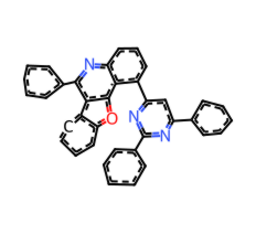 c1ccc(-c2cc(-c3cccc4nc(-c5ccccc5)c5c6ccccc6oc5c34)nc(-c3ccccc3)n2)cc1